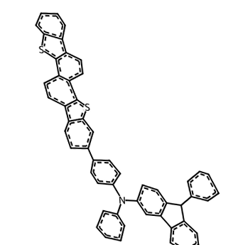 c1ccc(C2c3ccccc3-c3cc(N(c4ccccc4)c4ccc(-c5ccc6c(c5)sc5c6ccc6c5ccc5c7ccccc7sc56)cc4)ccc32)cc1